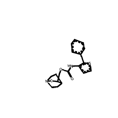 O=C(Nc1ccsc1-c1ccccc1)OC1CN2CCC1CC2